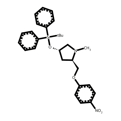 CN1C[C@@H](O[Si](c2ccccc2)(c2ccccc2)C(C)(C)C)C[C@@H]1COc1ccc([N+](=O)[O-])cc1